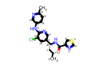 CCC[C@@H](NC(=O)c1cscn1)c1cnc(Nc2ccc(C)nc2)c(Cl)c1